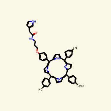 COc1ccc(-c2c3nc(c(-c4ccc(C#N)cc4)c4ccc([nH]4)c(-c4ccc(OCCCNC(=O)Cc5cc[nH]c5)cc4)c4nc(c(-c5ccc(C#N)cc5)c5ccc2[nH]5)C=C4)C=C3)cc1